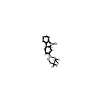 CCn1c2ccccc2c2ccc(B3OCC(C)(C)C(C)(C)O3)cc21